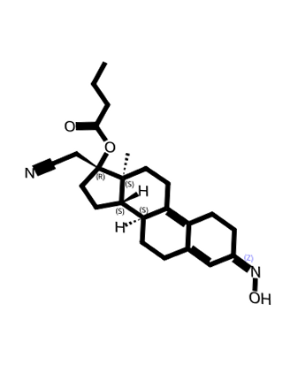 CCCC(=O)O[C@@]1(CC#N)CC[C@H]2[C@@H]3CCC4=C/C(=N\O)CCC4=C3CC[C@@]21C